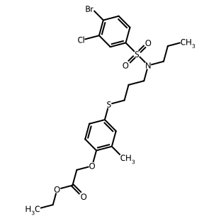 CCCN(CCCSc1ccc(OCC(=O)OCC)c(C)c1)S(=O)(=O)c1ccc(Br)c(Cl)c1